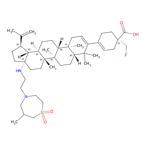 C=C(C)[C@@H]1CC[C@]2(NCCN3CCS(=O)(=O)CC(C)C3)CC[C@]3(C)[C@H](CC[C@@H]4[C@@]5(C)CC=C(C6=CC[C@](CF)(C(=O)O)CC6)C(C)(C)[C@@H]5CC[C@]43C)[C@@H]12